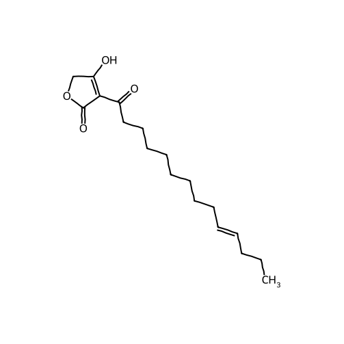 CCCC=CCCCCCCCCC(=O)C1=C(O)COC1=O